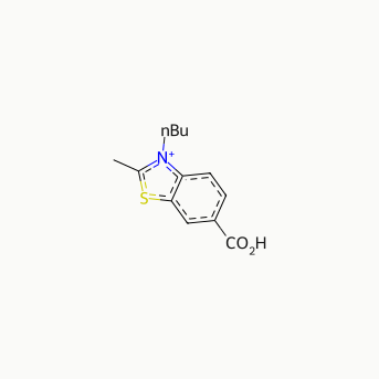 CCCC[n+]1c(C)sc2cc(C(=O)O)ccc21